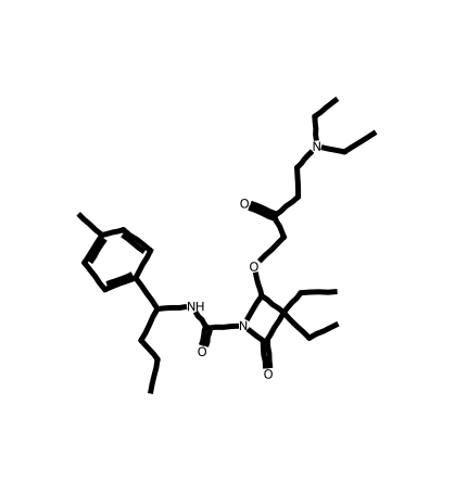 CCCC(NC(=O)N1C(=O)C(CC)(CC)C1OCC(=O)CCN(CC)CC)c1ccc(C)cc1